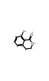 O=C1OCCc2cccc(I)c21